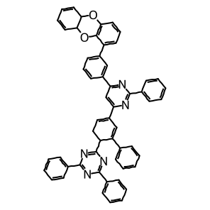 C1=CC2Oc3cccc(-c4cccc(-c5cc(C6=CCC(c7nc(-c8ccccc8)nc(-c8ccccc8)n7)C(c7ccccc7)=C6)nc(-c6ccccc6)n5)c4)c3OC2C=C1